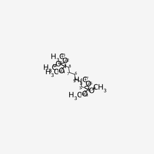 CO[Si]([CH]CCCCC[Si](OC)(OC)OC)(OC)OC